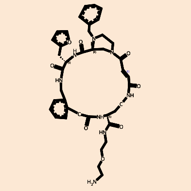 NCCOCCNC(=O)[C@@H]1CCNC(=O)/C=C/C(=O)N2CCN(Cc3ccccc3)[C@H](C2)C(=O)N[C@@H](Cc2ccco2)C(=O)NCc2ccccc2CC(=O)N1